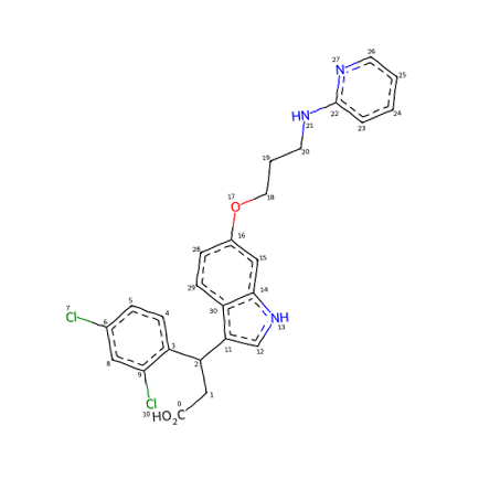 O=C(O)CC(c1ccc(Cl)cc1Cl)c1c[nH]c2cc(OCCCNc3ccccn3)ccc12